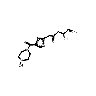 C=CC(O)CC(=O)Cc1nc(C(=O)N2CCN(C)CC2)co1